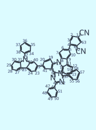 N#Cc1ccc(-c2ccc3c(c2)c2ccccc2n3-c2ccc(-c3ccc4c5ccccc5n(-c5ccccc5)c4c3)cc2-c2nc(-c3ccccc3)nc(-c3ccccc3)n2)c(C#N)c1